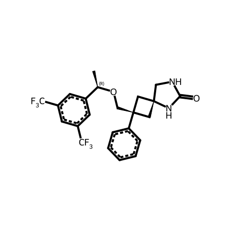 C[C@@H](OC[C@]1(c2ccccc2)C[C@]2(CNC(=O)N2)C1)c1cc(C(F)(F)F)cc(C(F)(F)F)c1